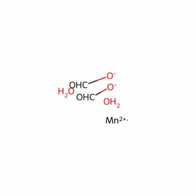 O.O.O=C[O-].O=C[O-].[Mn+2]